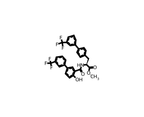 COC(=O)[C@H](Cc1ccc(-c2cccc(C(F)(F)F)c2)cc1)NC(=O)c1cc(-c2cccc(C(F)(F)F)c2)ccc1O